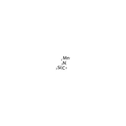 [C].[Mn].[N].[Si]